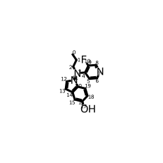 CCCN(c1ccncc1F)n1ccc2cc(O)ccc21